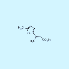 CCOC(=O)C=C(C)c1ccc(C)o1